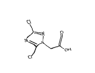 O=C(O)Cn1nc(Cl)nc1Cl